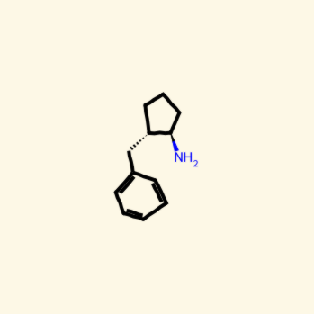 N[C@@H]1CCC[C@H]1Cc1ccccc1